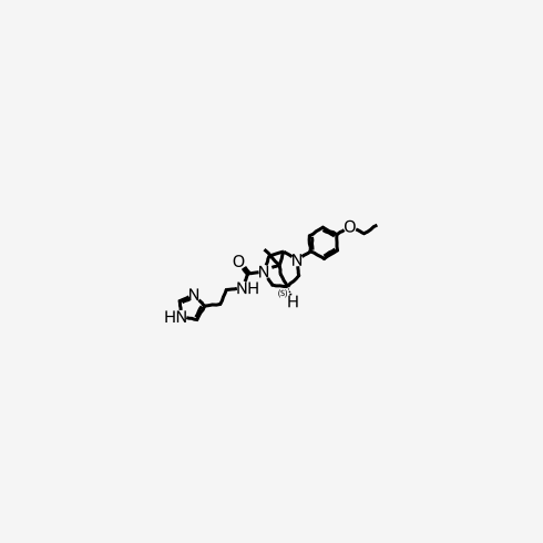 CCOc1ccc(N2C[C@H]3CN(C(=O)NCCc4c[nH]cn4)CC2C(C)(C)C3)cc1